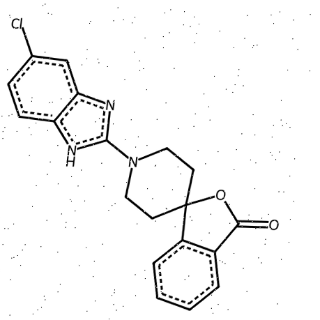 O=C1OC2(CCN(c3nc4cc(Cl)ccc4[nH]3)CC2)c2ccccc21